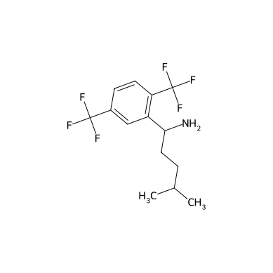 CC(C)CCC(N)c1cc(C(F)(F)F)ccc1C(F)(F)F